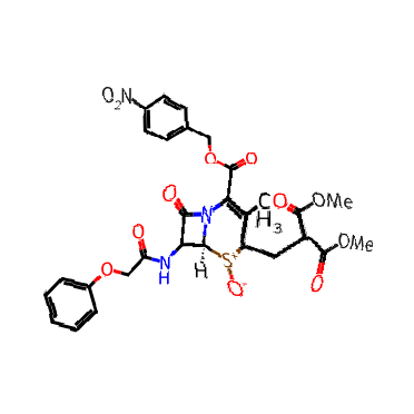 COC(=O)C(CC1C(C)=C(C(=O)OCc2ccc([N+](=O)[O-])cc2)N2C(=O)C(NC(=O)COc3ccccc3)[C@@H]2[S+]1[O-])C(=O)OC